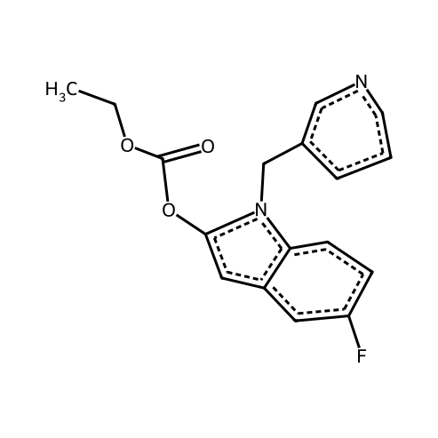 CCOC(=O)Oc1cc2cc(F)ccc2n1Cc1cccnc1